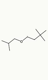 CC(C)CO[CH]CC(C)(C)C